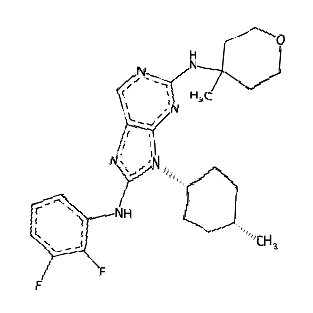 CC1(Nc2ncc3nc(Nc4cccc(F)c4F)n([C@H]4CC[C@@H](C)CC4)c3n2)CCOCC1